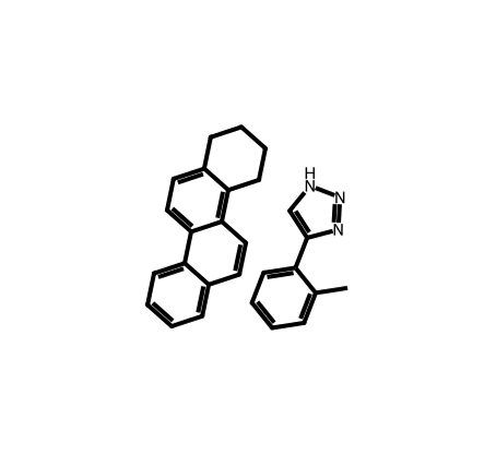 Cc1ccccc1-c1c[nH]nn1.c1ccc2c(c1)ccc1c3c(ccc12)CCCC3